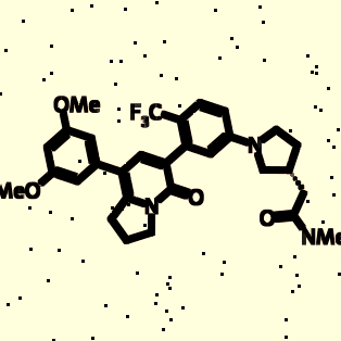 CNC(=O)C[C@H]1CCN(c2ccc(C(F)(F)F)c(-c3cc(-c4cc(OC)cc(OC)c4)c4n(c3=O)CCC4)c2)C1